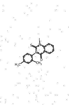 Cc1ccc(-n2c(=O)c3ccccc3n(I)c2=S)c(C)c1